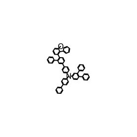 c1ccc(-c2ccc(N(c3ccc(-c4ccc(-c5cccc6oc7ccccc7c56)c(-c5ccccc5)c4)cc3)c3ccc(-c4ccccc4)c(-c4ccccc4)c3)cc2)cc1